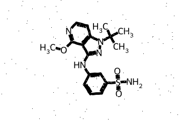 COc1nccc2c1c(Nc1cccc(S(N)(=O)=O)c1)nn2C(C)(C)C